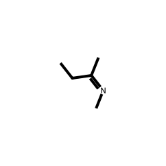 CC/C(C)=N\C